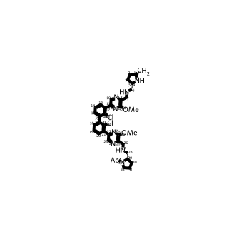 C=C1CC[C@@H](CNCc2ncc(-c3cccc(-c4cccc(-c5cnc(CNC[C@@H]6CCCN6C(C)=O)c(OC)n5)c4Cl)c3Cl)nc2OC)N1